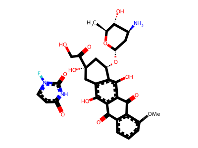 COc1cccc2c1C(=O)c1c(O)c3c(c(O)c1C2=O)C[C@@](O)(C(=O)CO)C[C@@H]3O[C@H]1C[C@H](N)[C@@H](O)[C@H](C)O1.O=c1ccn(F)c(=O)[nH]1